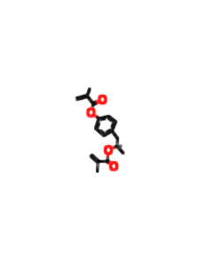 C=C(C)C(=O)O[C](C)Cc1ccc(OC(=O)C(=C)C)cc1